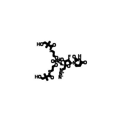 CC(C)(CO)C(=O)SCCOP(=O)(OCCSC(=O)C(C)(C)CO)OC[C@@]1(CN=[N+]=[N-])O[C@@H](n2ccc(=O)[nH]c2=O)[C@H](F)[C@@H]1O